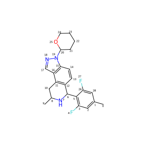 Cc1cc(F)c(C2NC(C)Cc3c2ccc2c3cnn2C2CCCCO2)c(F)c1